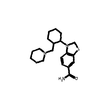 NC(=O)c1ccc2c(c1)SCN2C1CCCCC1CN1CCCCC1